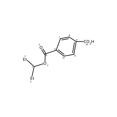 CCC(CC)OC(=O)c1ccc(C(=O)O)cc1